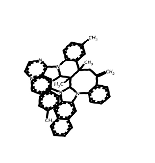 C=C1CC2(C)c3cc(C)ccc3N3c4nccnc4N(c4ccc(C)cc4)C3C2(C)C2N(c3ccccc3)c3cc4ccccc4cc3N2c2ccccc21